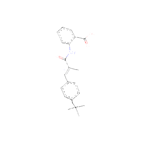 C/C(=C\c1ccc(C(C)(C)C)cc1)C(=O)Nc1ccccc1C(=O)O